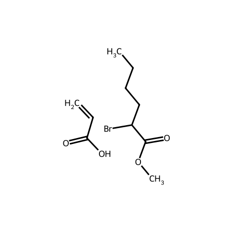 C=CC(=O)O.CCCCC(Br)C(=O)OC